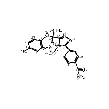 CCn1c(-c2ccc(C(N)=O)cc2)nnc1C(C)(C)Oc1ccc(Cl)cc1F